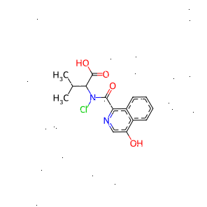 CC(C)C(C(=O)O)N(Cl)C(=O)c1ncc(O)c2ccccc12